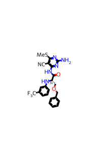 CSc1nc(N)nc(NC(=O)[C@H](COCc2ccccc2)Nc2cccc(C(F)(F)F)c2)c1C#N